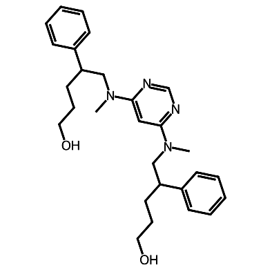 CN(CC(CCCO)c1ccccc1)c1cc(N(C)CC(CCCO)c2ccccc2)ncn1